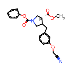 COC(=O)[C@H]1CN(C(=O)Oc2ccccc2)CC1Cc1cccc(OCC#N)c1